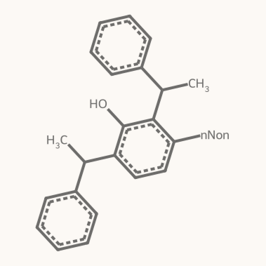 CCCCCCCCCc1ccc(C(C)c2ccccc2)c(O)c1C(C)c1ccccc1